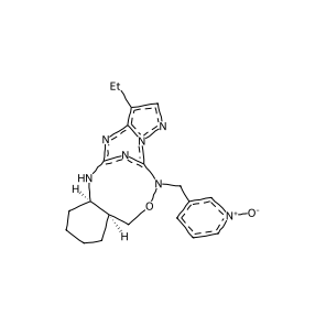 CCc1cnn2c3nc(nc12)N[C@@H]1CCCC[C@@H]1CON3Cc1ccc[n+]([O-])c1